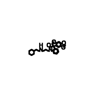 O=C1N(CCCNCCC2CCCCC2)c2ccccc2C12COc1cc3c(cc12)OCO3